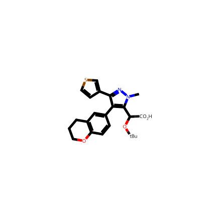 Cn1nc(-c2ccsc2)c(-c2ccc3c(c2)CCCO3)c1C(OC(C)(C)C)C(=O)O